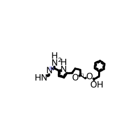 N=C/N=C(/N)c1ccc(C2CC[C@@H](COC(O)Cc3ccccc3)O2)[nH]1